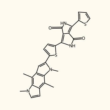 Cc1c2cc(-c3ccc(C4=C5C(=O)NC(c6cccs6)=C5C(=O)N4)s3)n(C)c2c(C)c2ccn(C)c12